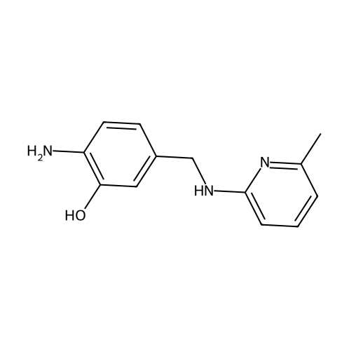 Cc1cccc(NCc2ccc(N)c(O)c2)n1